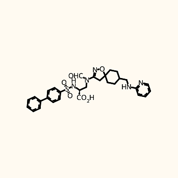 O=CN(C[C@H](NS(=O)(=O)c1ccc(-c2ccccc2)cc1)C(=O)O)C1=NOC2(CCC(CNc3ccccn3)CC2)C1